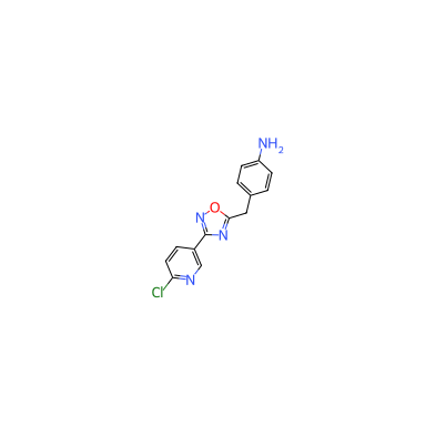 Nc1ccc(Cc2nc(-c3ccc(Cl)nc3)no2)cc1